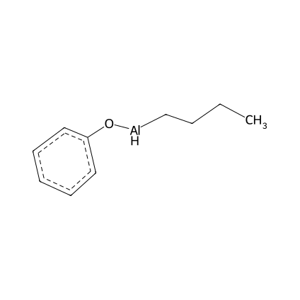 CCC[CH2][AlH][O]c1ccccc1